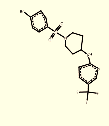 O=S(=O)(c1ccc(Br)cc1)N1CCC(Nc2ccc(C(F)(F)F)cn2)CC1